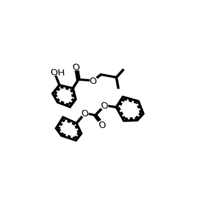 CC(C)COC(=O)c1ccccc1O.O=C(Oc1ccccc1)Oc1ccccc1